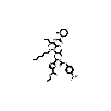 CCCCCCON(C(=O)[C@@H](NC(=O)[C@H]1CCCCN1C)[C@@H](C)CC)[C@H](C[C@@H](OC(=O)Oc1ccc([N+](=O)[O-])cc1)c1nc(C(=O)OCC)cs1)C(C)C